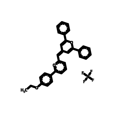 CCOc1ccc(-c2cccc(C=C3C=C(c4ccccc4)OC(c4ccccc4)=C3)[o+]2)cc1.F[B-](F)(F)F